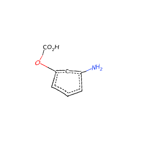 Nc1cccc(OC(=O)O)c1